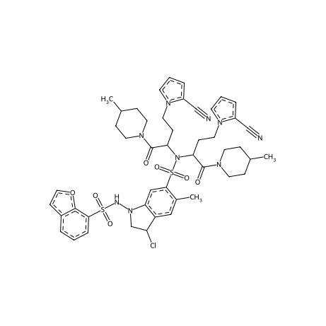 Cc1cc2c(cc1S(=O)(=O)N(C(CCn1cccc1C#N)C(=O)N1CCC(C)CC1)C(CCn1cccc1C#N)C(=O)N1CCC(C)CC1)N(NS(=O)(=O)c1cccc3ccoc13)CC2Cl